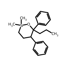 CCCC1(c2ccccc2)O[Si](C)(C)CCC1c1ccccc1